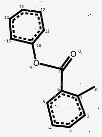 Cc1ccccc1C(=O)Oc1ccccc1